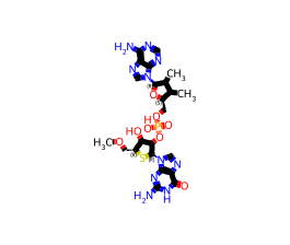 COC[C@H]1S[C@@H](n2cnc3c(=O)[nH]c(N)nc32)C(OP(=O)(O)OC[C@H]2O[C@@H](n3cnc4c(N)ncnc43)C(C)C2C)C1O